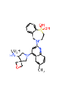 Cc1ccc2nc(N3CCS(O)(O)c4ccccc4C3)cc(N3CC(NC(=O)O)C4(COC4)C3)c2c1